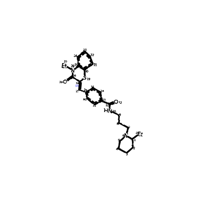 CCC1CCCCN1CCCNC(=O)c1ccc(/C=C2\Sc3ccccc3N(CC)C2=O)cc1